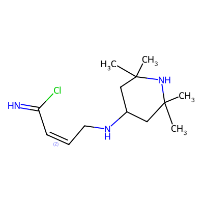 CC1(C)CC(NC/C=C\C(=N)Cl)CC(C)(C)N1